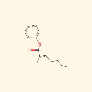 CCCCC=C(C)C(=O)Oc1ccccc1